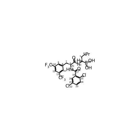 CC(C)C[C@H](NC(=O)[C@H](Cc1cc(C(F)(F)F)cc(C(F)(F)F)c1)NC(=O)c1cc(Cl)ccc1Cl)B(O)O